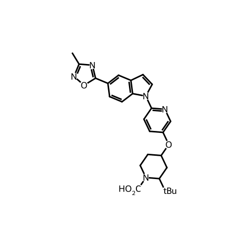 Cc1noc(-c2ccc3c(ccn3-c3ccc(OC4CCN(C(=O)O)C(C(C)(C)C)C4)cn3)c2)n1